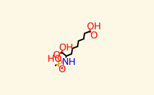 CP(=O)(O)NC(CCCCCCC(=O)O)C(=O)O